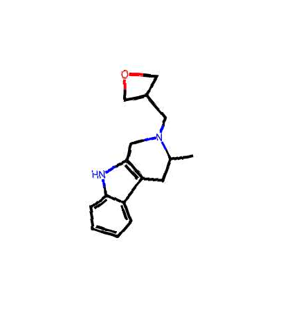 CC1Cc2c([nH]c3ccccc23)CN1CC1COC1